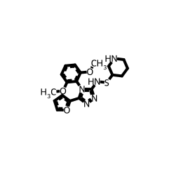 COc1cccc(OC)c1-n1c(NSC2CCCNC2)nnc1-c1ccco1